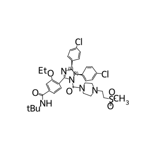 CCOc1cc(C(=O)NC(C)(C)C)ccc1C1=N[C@@H](c2ccc(Cl)cc2)[C@@H](c2ccc(Cl)cc2)N1C(=O)N1CCN(CCS(C)(=O)=O)CC1